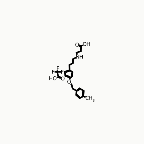 Cc1ccc(CCOc2ccc(CCCNCCC(=O)O)cc2)cc1.O=C(O)C(F)(F)F